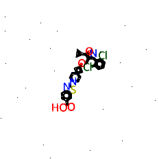 O=C(O)c1ccc2nc(N3CCC4(CC3)CC(OCc3c(-c5c(Cl)cccc5Cl)noc3C3CC3)C4)sc2c1